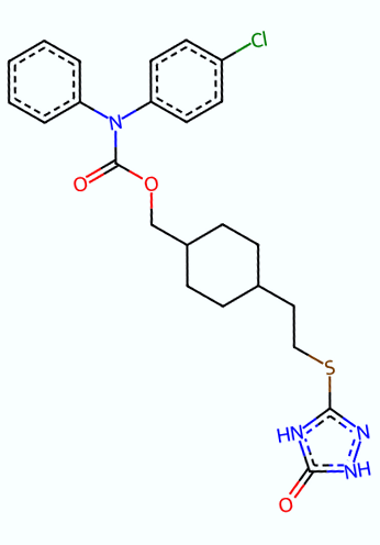 O=C(OCC1CCC(CCSc2n[nH]c(=O)[nH]2)CC1)N(c1ccccc1)c1ccc(Cl)cc1